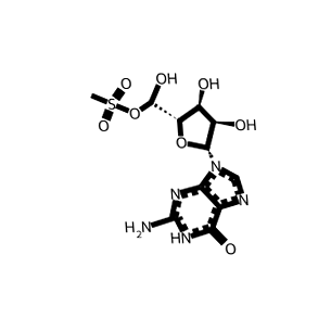 CS(=O)(=O)OC(O)[C@H]1O[C@@H](n2cnc3c(=O)[nH]c(N)nc32)[C@H](O)[C@@H]1O